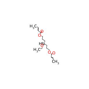 CC=CC(=O)OCCC[SiH](CCCOC(=O)C=CC)OCC